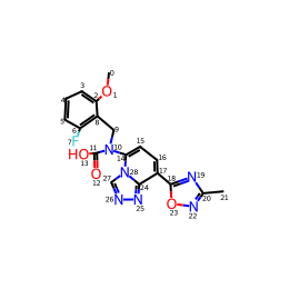 COc1cccc(F)c1CN(C(=O)O)c1ccc(-c2nc(C)no2)c2nncn12